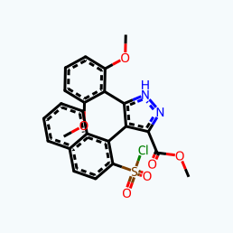 COC(=O)c1n[nH]c(-c2c(OC)cccc2OC)c1-c1c(S(=O)(=O)Cl)ccc2ccccc12